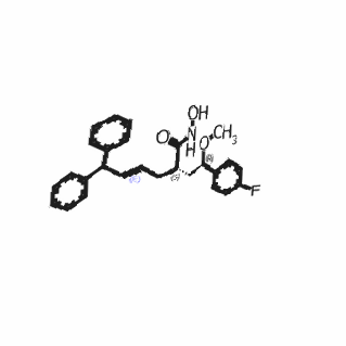 CO[C@H](C[C@H](C/C=C/C(c1ccccc1)c1ccccc1)C(=O)NO)c1ccc(F)cc1